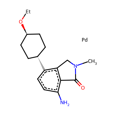 CCO[C@H]1CC[C@H](c2ccc(N)c3c2CN(C)C3=O)CC1.[Pd]